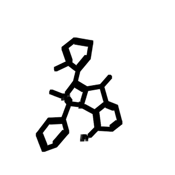 Cc1ccccc1-c1c2n(c(-c3ccccc3)[n+]1C)-c1c(C(C)C)cccc1C2C